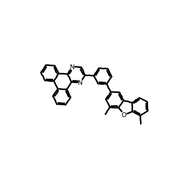 Cc1cccc2c1oc1c(C)cc(-c3cccc(-c4cnc5c6ccccc6c6ccccc6c5n4)c3)cc12